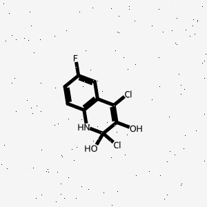 OC1=C(Cl)c2cc(F)ccc2NC1(O)Cl